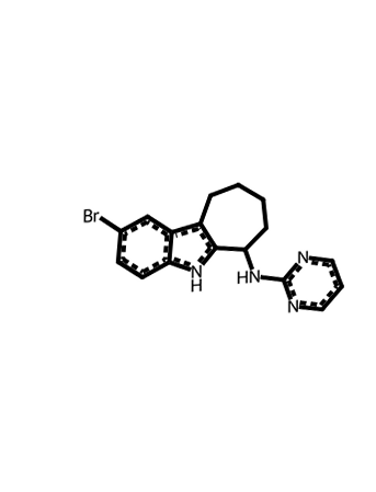 Brc1ccc2[nH]c3c(c2c1)CCCCC3Nc1ncccn1